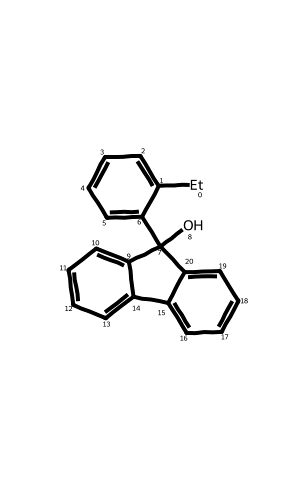 CCc1ccccc1C1(O)c2ccccc2-c2ccccc21